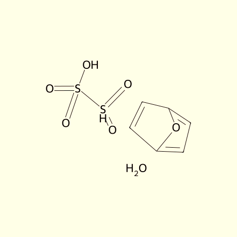 O.O=[SH](=O)S(=O)(=O)O.c1cc2ccc1o2